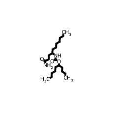 CCCCCCCC(CCC(N)=O)NC(=O)OC(CCCC)CCCCC